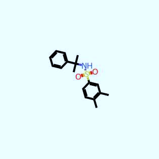 Cc1ccc(S(=O)(=O)NC(C)(C)c2ccccc2)cc1C